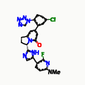 CNc1ccc(-c2cnc([C@@H]3CCc4cc(-c5cc(Cl)ccc5-n5cnnn5)cc(=O)n43)[nH]2)c(F)n1